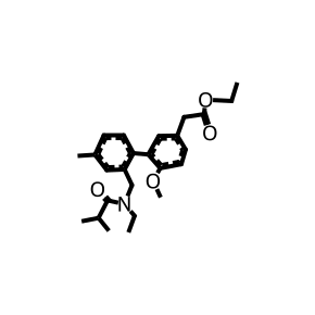 CCOC(=O)Cc1ccc(OC)c(-c2ccc(C)cc2CN(CC)C(=O)C(C)C)c1